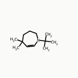 CC1(C)C=CN(C(C)(C)C)CCC1